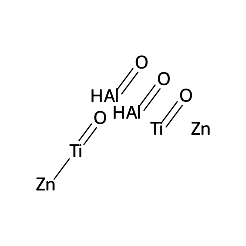 [O]=[AlH].[O]=[AlH].[O]=[Ti].[O]=[Ti][Zn].[Zn]